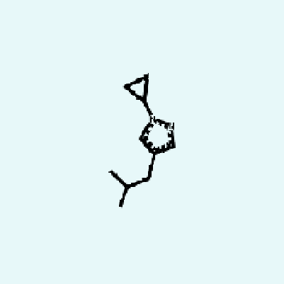 CC(C)Cc1cnn(C2CC2)c1